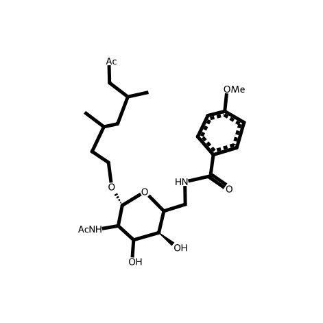 COc1ccc(C(=O)NCC2O[C@@H](OCCC(C)CC(C)CC(C)=O)C(NC(C)=O)C(O)[C@@H]2O)cc1